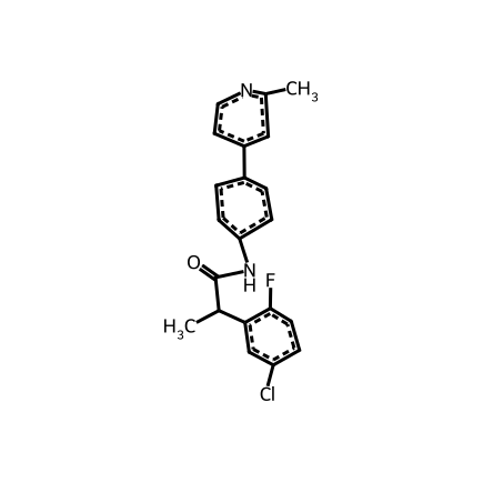 Cc1cc(-c2ccc(NC(=O)C(C)c3cc(Cl)ccc3F)cc2)ccn1